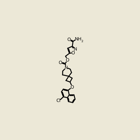 NC(=O)c1cc(COC(=O)N2CCC3(CC2)CC(Oc2ccc(Cl)c4ccccc24)C3)on1